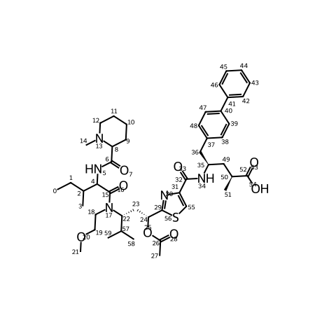 CCC(C)C(NC(=O)C1CCCCN1C)C(=O)N(CCOC)[C@H](C[C@@H](OC(C)=O)c1nc(C(=O)N[C@@H](Cc2ccc(-c3ccccc3)cc2)C[C@H](C)C(=O)O)cs1)C(C)C